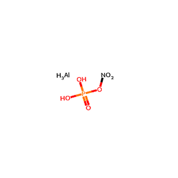 O=[N+]([O-])OP(=O)(O)O.[AlH3]